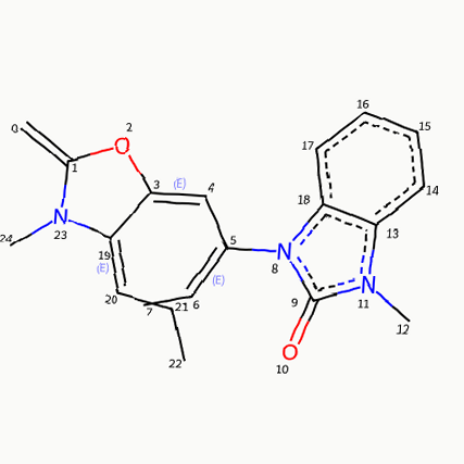 C=C1OC(=C/C(=C\C)n2c(=O)n(C)c3ccccc32)/C(=C\CC)N1C